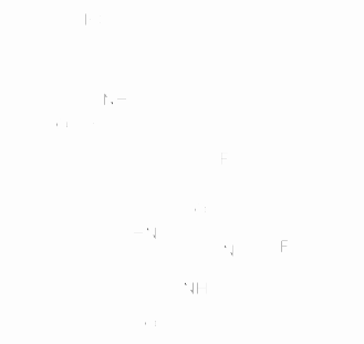 O=CNc1nc(-c2c(F)cccc2F)oc1Nc1ccc(C(=O)NCCO)cc1